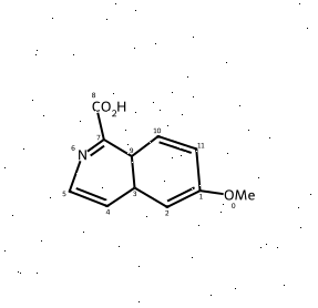 COC1=CC2C=CN=C(C(=O)O)C2C=C1